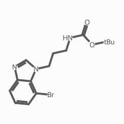 CC(C)(C)OC(=O)NCCCn1cnc2cccc(Br)c21